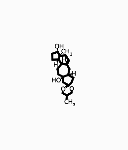 CC1COC2(CC[C@H]3CC4=CC[C@]5(C)[C@@H](O)CC[C@H]5[C@@H]4CC[C@@]3(O)C2)OC1